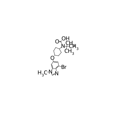 Cn1cnc2c(Br)cc(OC3CCC(N(C(=O)O)C(C)(C)C)CC3)cc21